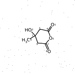 CC1(O)CC(=O)OC(=O)C1